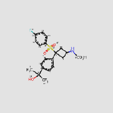 O=C(O)NC1CC(c2ccc(C(O)(C(F)(F)F)C(F)(F)F)cc2)(S(=O)(=O)c2ccc(F)cc2)C1